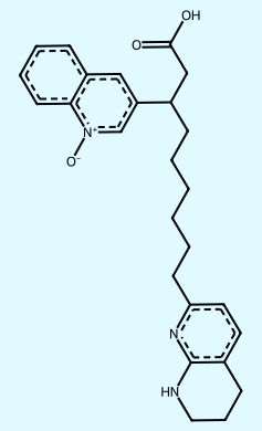 O=C(O)CC(CCCCCCc1ccc2c(n1)NCCC2)c1cc2ccccc2[n+]([O-])c1